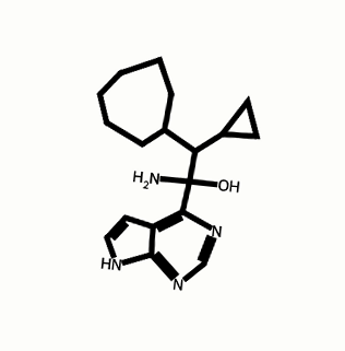 NC(O)(c1ncnc2[nH]ccc12)C(C1CCCCCC1)C1CC1